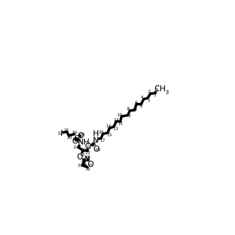 CCCCCCCCCCCCCCCCCCNC(=O)OCC(CNS(=O)(=O)CCCI)Oc1ccon1